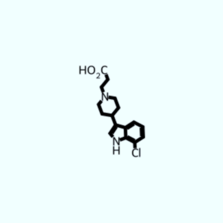 O=C(O)CCN1CCC(c2c[nH]c3c(Cl)cccc23)CC1